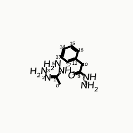 CC(=NN)NN.NNC(=O)Cc1ccccc1